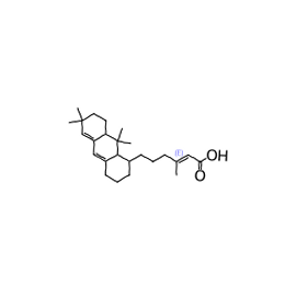 C/C(=C\C(=O)O)CCCC1CCCC2=CC3=CC(C)(C)CCC3C(C)(C)C21